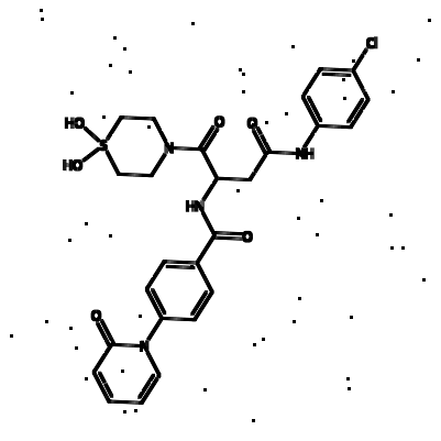 O=C(CC(NC(=O)c1ccc(-n2ccccc2=O)cc1)C(=O)N1CCS(O)(O)CC1)Nc1ccc(Cl)cc1